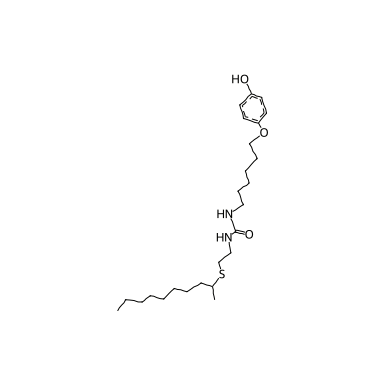 CCCCCCCCC(C)SCCNC(=O)NCCCCCCOc1ccc(O)cc1